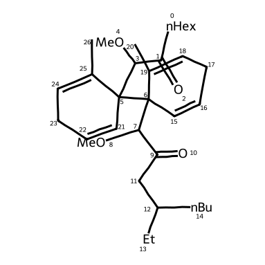 CCCCCCC(=O)C(OC)C1(C2(C(OC)C(=O)CC(CC)CCCC)C=CCC=C2C)C=CCC=C1C